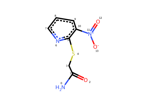 NC(=O)CSc1ncccc1[N+](=O)[O-]